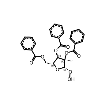 C[C@]1(OC(=O)c2ccccc2)[C@H](OO)O[C@H](COC(=O)c2ccccc2)[C@H]1OC(=O)c1ccccc1